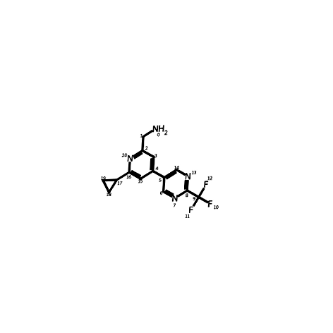 NCc1cc(-c2cnc(C(F)(F)F)nc2)cc(C2CC2)n1